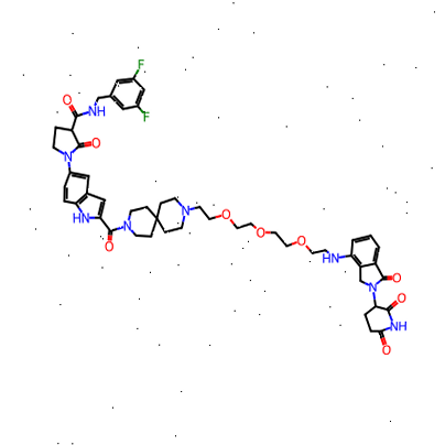 O=C1CCC(N2Cc3c(NCCOCCOCCOCCN4CCC5(CC4)CCN(C(=O)c4cc6cc(N7CCC(C(=O)NCc8cc(F)cc(F)c8)C7=O)ccc6[nH]4)CC5)cccc3C2=O)C(=O)N1